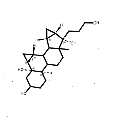 CC12CCC3C(C1[C@@H]1C[C@@H]1[C@@]2(O)CCCO)[C@H]1C[C@H]1[C@]1(O)CC(O)CC[C@]31C